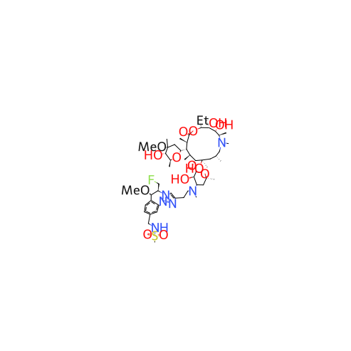 CC[C@H]1OC(=O)[C@H](C)[C@@H](C2C[C@@](C)(OC)[C@@H](O)[C@H](C)O2)[C@H](C)[C@@H](O[C@@H]2O[C@H](C)C[C@H](N(C)CCc3cn([C@H](CF)[C@H](OC)c4ccc(CNS(C)(=O)=O)cc4)nn3)[C@H]2O)[C@](C)(O)C[C@@H](C)CN(C)[C@H](C)[C@@H](O)[C@]1(C)O